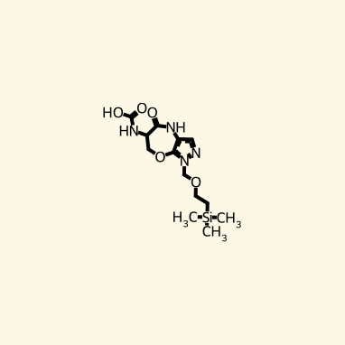 C[Si](C)(C)CCOCn1ncc2c1OCC(NC(=O)O)C(=O)N2